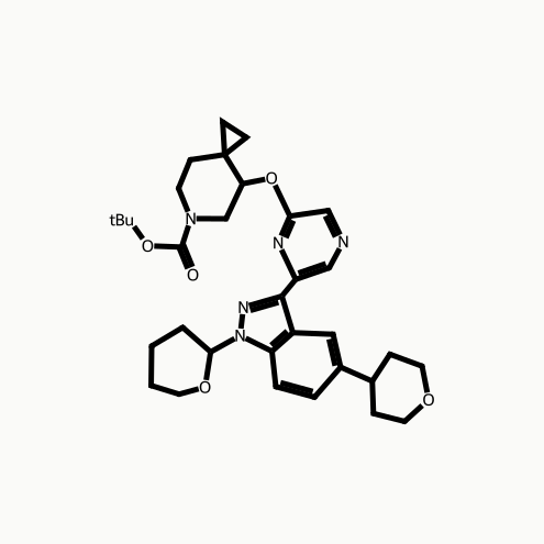 CC(C)(C)OC(=O)N1CCC2(CC2)C(Oc2cncc(-c3nn(C4CCCCO4)c4ccc(C5CCOCC5)cc34)n2)C1